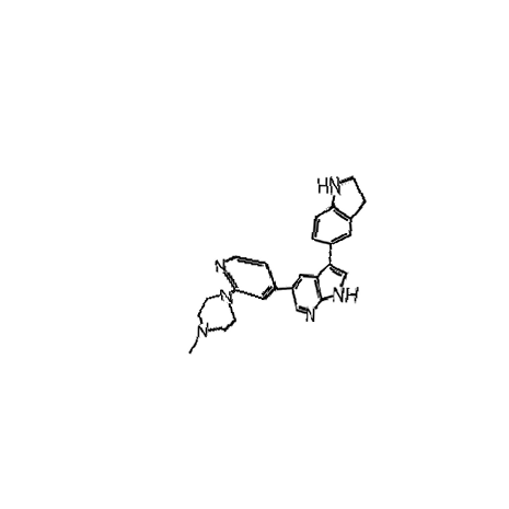 CN1CCN(c2cc(-c3cnc4[nH]cc(-c5ccc6c(c5)CCN6)c4c3)ccn2)CC1